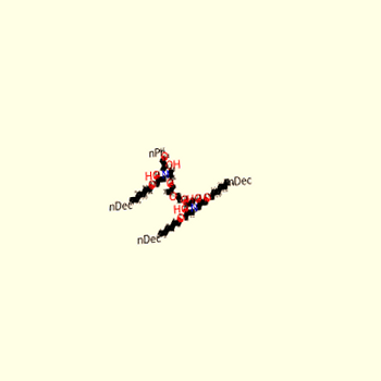 CCCCCCCCCCCCCCCCOCC(O)CN(CC(O)COCCCCCCCCCCCCCCCC)C(C)COCCOC(C)COCC(C)N(CC(O)COCCC)CC(O)COCCCCCCCCCCCCCCCC